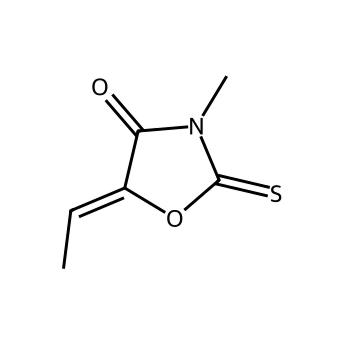 C/C=C1\OC(=S)N(C)C1=O